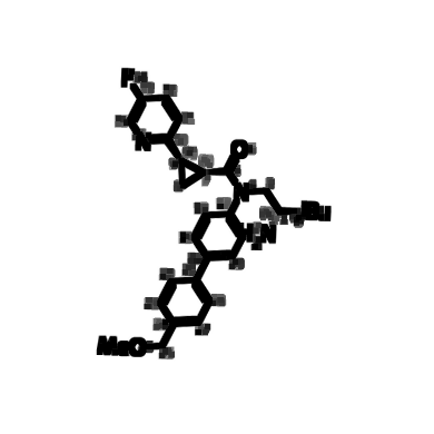 CC[C@H](C)[C@H](N)CN(C(=O)[C@H]1C[C@H]1c1ccc(F)cn1)c1ccc(-c2ccc(COC)cc2)cc1